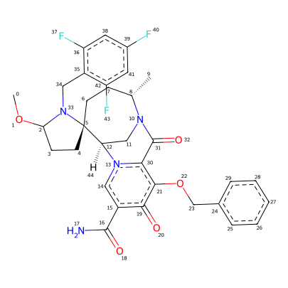 COC1CC[C@]2(CC[C@H](C)N3C[C@H]2n2cc(C(N)=O)c(=O)c(OCc4ccccc4)c2C3=O)N1Cc1c(F)cc(F)cc1F